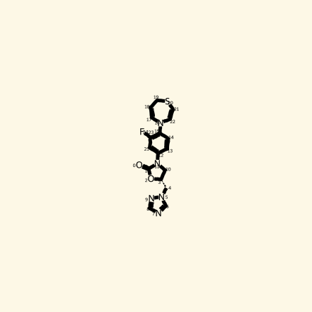 O=C1O[C@@H](Cn2cncn2)CN1c1ccc(N2C=CCSC=C2)c(F)c1